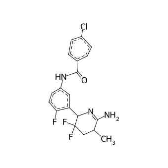 CC1CC(F)(F)C(c2cc(NC(=O)c3ccc(Cl)cc3)ccc2F)N=C1N